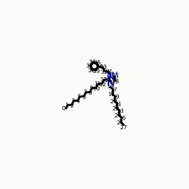 CCCCCCCCCCCCCCc1n(CCCCCCCCCCCC)cc[n+]1CCCc1ccccc1